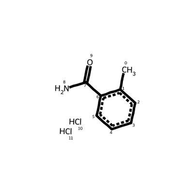 Cc1ccccc1C(N)=O.Cl.Cl